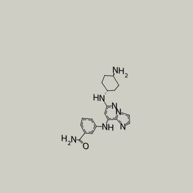 NC(=O)c1cccc(Nc2cc(N[C@H]3CC[C@H](N)CC3)nn3ccnc23)c1